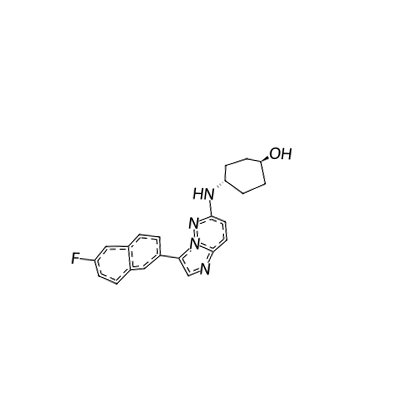 O[C@H]1CC[C@H](Nc2ccc3ncc(-c4ccc5cc(F)ccc5c4)n3n2)CC1